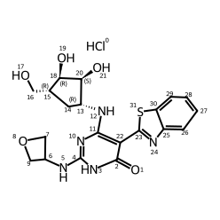 Cl.O=c1[nH]c(NC2COC2)nc(N[C@@H]2C[C@H](CO)[C@@H](O)[C@H]2O)c1-c1nc2ccccc2s1